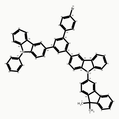 CC1(C)c2ccccc2-c2cc(-n3c4ccccc4c4cc(-c5cc(-c6ccc(Br)cc6)cc(-c6ccc7c(c6)c6ccccc6n7-c6ccccc6)c5)ccc43)ccc21